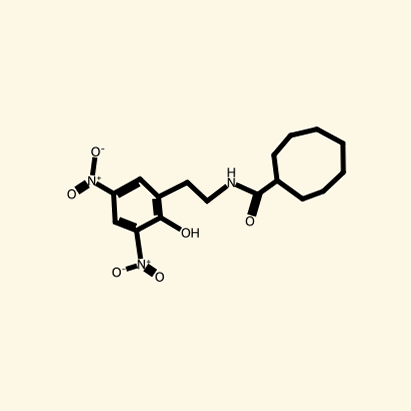 O=C(NCCc1cc([N+](=O)[O-])cc([N+](=O)[O-])c1O)C1CCCCCCC1